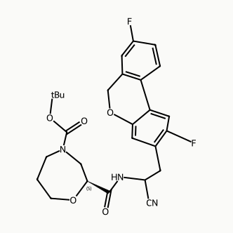 CC(C)(C)OC(=O)N1CCCO[C@H](C(=O)NC(C#N)Cc2cc3c(cc2F)-c2ccc(F)cc2CO3)C1